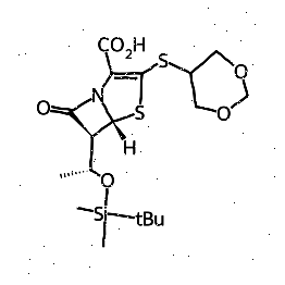 C[C@@H](O[Si](C)(C)C(C)(C)C)[C@H]1C(=O)N2C(C(=O)O)=C(SC3COCOC3)S[C@H]12